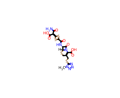 Cn1nnnc1SCC1=C(C(=O)O)N2C(=O)[C@@H](NC(=O)C3SC(=C(C(N)=O)C(=O)O)S3)[C@H]2SC1